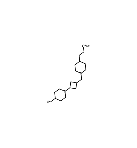 COCCC1CCN(CC2CC(N3CCC(C(C)C)CC3)C2)CC1